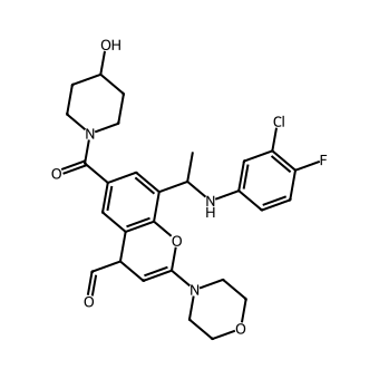 CC(Nc1ccc(F)c(Cl)c1)c1cc(C(=O)N2CCC(O)CC2)cc2c1OC(N1CCOCC1)=CC2C=O